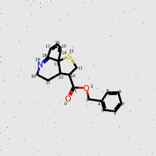 O=C(OCc1ccccc1)C1CSC23C=CC=CC2=NCCC13